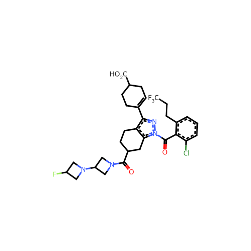 O=C(O)C1CC=C(c2nn(C(=O)c3c(Cl)cccc3CCC(F)(F)F)c3c2CCC(C(=O)N2CC(N4CC(F)C4)C2)C3)CC1